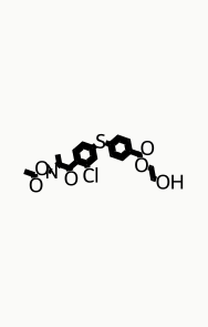 CC(=O)O/N=C(\C)C(=O)c1ccc(Sc2ccc(C(=O)OCCO)cc2)cc1Cl